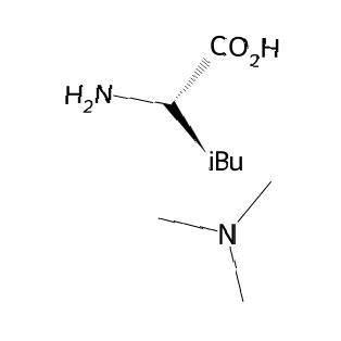 CC[C@H](C)[C@H](N)C(=O)O.CN(C)C